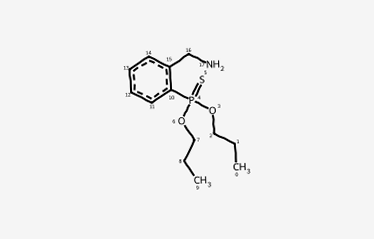 CCCOP(=S)(OCCC)c1ccccc1CN